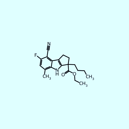 CCCCC1(C(=O)OCC)CCc2c1[nH]c1c(C)cc(F)c(C#N)c21